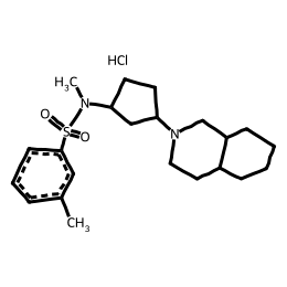 Cc1cccc(S(=O)(=O)N(C)C2CCC(N3CCC4CCCCC4C3)C2)c1.Cl